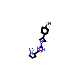 N#Cc1ccc(C2CN(c3noc(C4CCCN4C#N)n3)C2)cc1